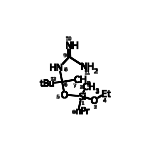 CCC[Si](C)(OCC)OC(C)(NC(=N)N)C(C)(C)C